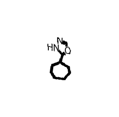 C1=NN[C](C2CCCCCC2)O1